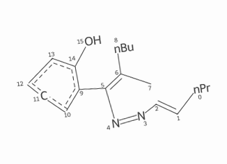 CCC/C=C/N=N\C(=C(/C)CCCC)c1ccccc1O